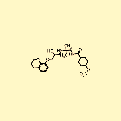 CC(C)(CNC(=O)C1CCC(O[N+](=O)[O-])CC1)NCC(O)COc1cccc2c1OCCC2